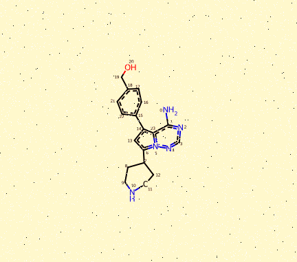 Nc1ncnn2c(C3CCNCC3)cc(-c3ccc(CO)cc3)c12